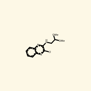 COC(CNc1nc2ccccc2nc1Cl)OC